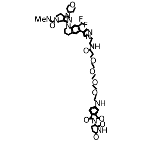 CNC(=O)N1CCc2c(c(N3CCCc4cc(-c5cnn(CCNC(=O)CCOCCOCCOCCOCCNc6ccc7c(c6)C(=O)N(C6CCC(=O)NC6=O)C7=O)c5)c(C(F)F)cc43)nn2C2CCOCC2)C1